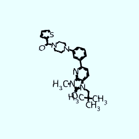 Cn1c(=O)n(CC(C)(C)C)c2ccc(-c3cccc(N4CCN(C(=O)c5cccs5)CC4)c3)nc21